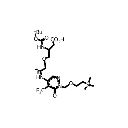 C[C@@H](COCC(CC(=O)O)NC(=O)OC(C)(C)C)Nc1cnn(COCC[Si](C)(C)C)c(=O)c1C(F)(F)F